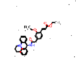 CCOC(=O)C=Cc1ccc(CC(=O)NC(c2ccccc2)c2ccccc2N2CCCCC2)cc1OCC